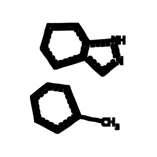 Cc1ccccc1.c1ccc2[nH]ncc2c1